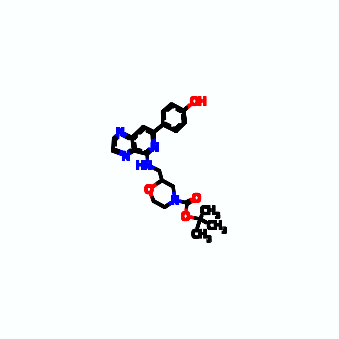 CC(C)(C)OC(=O)N1CCOC(CNc2nc(-c3ccc(O)cc3)cc3nccnc23)C1